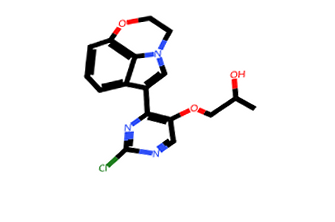 CC(O)COc1cnc(Cl)nc1-c1cn2c3c(cccc13)OCC2